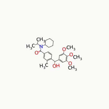 COc1cc(C(O)c2ccc(C(=O)N(C(C)C)C3CCCCC3)cc2C)cc(OC)c1OC